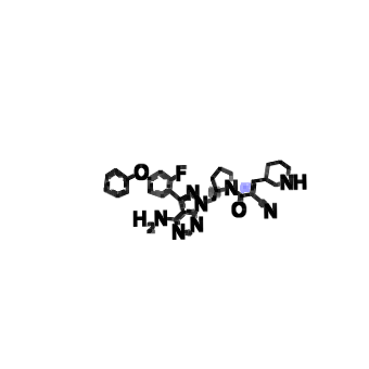 N#C/C(=C\C1CCCNC1)C(=O)N1CCC[C@@H]1Cn1nc(-c2ccc(Oc3ccccc3)cc2F)c2c(N)ncnc21